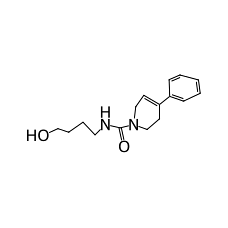 O=C(NCCCCO)N1CC=C(c2ccccc2)CC1